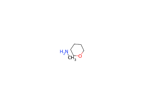 C1CCOCC1.CN